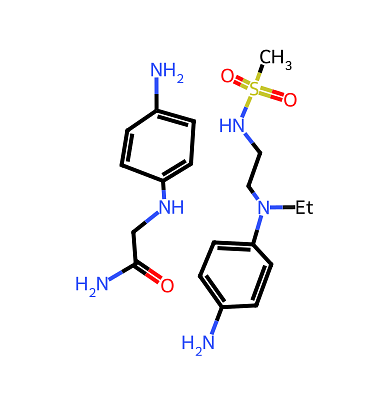 CCN(CCNS(C)(=O)=O)c1ccc(N)cc1.NC(=O)CNc1ccc(N)cc1